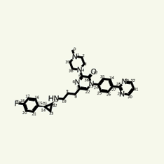 CN1CCN(c2nc(CCCN[C@@H]3C[C@H]3c3ccc(F)cc3)cn(-c3ccc(-c4ncccn4)cc3)c2=O)CC1